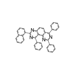 c1ccc(-c2nc(-c3ccccc3)c3ccc4nc(-c5cccc6ccccc56)nc(-c5ccccc5)c4c3n2)cc1